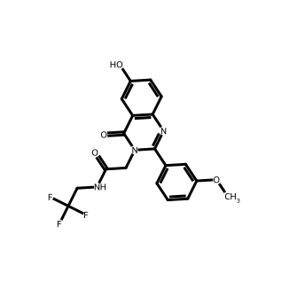 COc1cccc(-c2nc3ccc(O)cc3c(=O)n2CC(=O)NCC(F)(F)F)c1